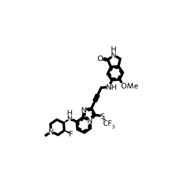 COc1cc2c(cc1NCC#Cc1nc3c(N[C@@H]4CCN(C)C[C@@H]4F)cccn3c1SC(F)(F)F)C(=O)NC2